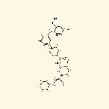 CCOc1cc(F)cnc1Oc1cncc(-c2ncc(C(=O)N[C@@H]3CN(C(=O)OCc4ccccc4)CC[C@H]3F)cn2)c1